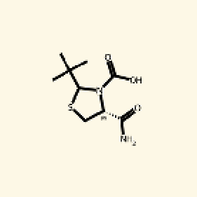 CC(C)(C)C1SC[C@@H](C(N)=O)N1C(=O)O